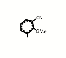 COc1c(I)cccc1C#N